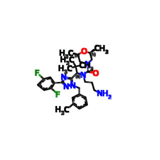 Cc1cccc(Cn2nc(-c3cc(F)ccc3F)nc2[C@H](N(CCCN)C(=O)N2C[C@@H](C)O[C@@H](C)C2)C(C)(C)C)c1